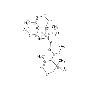 CCOC(=O)C(CSC(CC(C)=O)C1C(C)=CCCC1(C)C)NC(CC(C)=O)C1C(C)=CCCC1(C)C